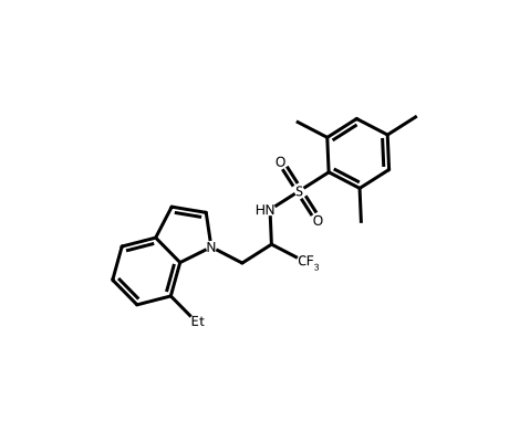 CCc1cccc2ccn(CC(NS(=O)(=O)c3c(C)cc(C)cc3C)C(F)(F)F)c12